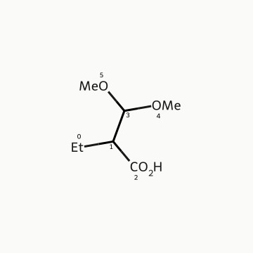 CCC(C(=O)O)C(OC)OC